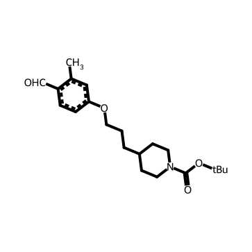 Cc1cc(OCCCC2CCN(C(=O)OC(C)(C)C)CC2)ccc1C=O